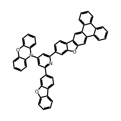 c1ccc2c(c1)Oc1ccccc1N2c1cc(-c2ccc3c(c2)oc2ccccc23)nc(-c2ccc3c(c2)oc2cc4c5ccccc5c5ccccc5c4cc23)c1